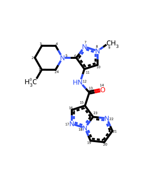 CC1CCCN(c2nn(C)cc2NC(=O)c2cnn3cccnc23)C1